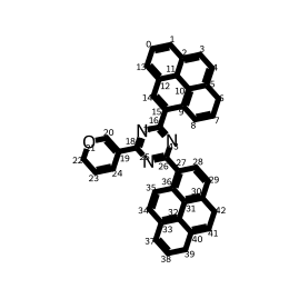 C1=CC2=CC=C3CC=CC4=C3C2C(=C1)C=C4c1nc(C2=COCC=C2)nc(-c2ccc3c4c5c(ccc24)C=CCC5=CC3)n1